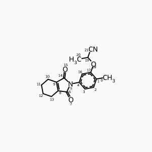 Cc1ccc(N2C(=O)C3=C(CCCC3)C2=O)cc1OC(C)C#N